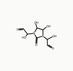 O=CC(O)N1C(=O)N(C(O)C=O)C(O)C1O